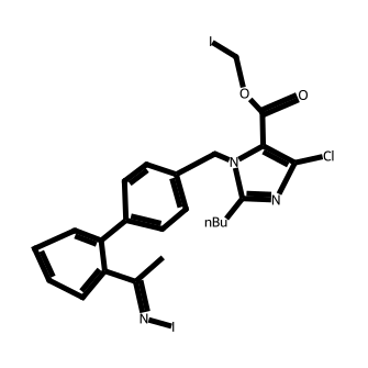 CCCCc1nc(Cl)c(C(=O)OCI)n1Cc1ccc(-c2ccccc2/C(C)=N/I)cc1